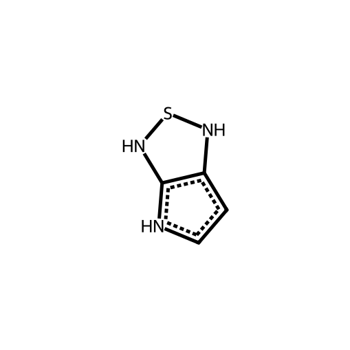 c1cc2c([nH]1)NSN2